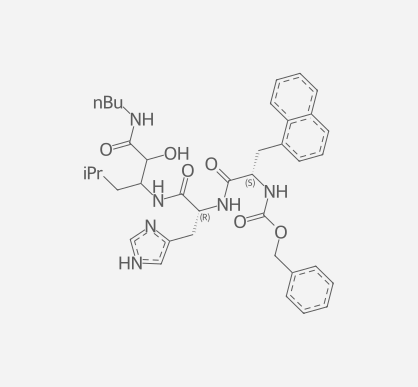 CCCCNC(=O)C(O)C(CC(C)C)NC(=O)[C@@H](Cc1c[nH]cn1)NC(=O)[C@H](Cc1cccc2ccccc12)NC(=O)OCc1ccccc1